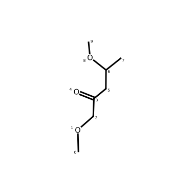 COCC(=O)CC(C)OC